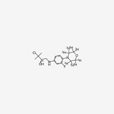 [2H]C1([2H])OC([2H])([2H])C([2H])([2H])N(c2ccc(NC[C@@H](O)C(C)(C)Cl)cc2F)C1([2H])[2H]